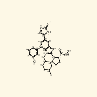 CCNC(=O)[C@@H]1CCCN1c1nc2cc(-c3noc(=O)[nH]3)nc(-c3cncc(Cl)c3)c2n1CC1CCC(C)CC1